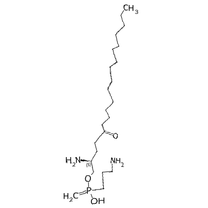 C=P(O)(CCCN)OC[C@@H](N)CCC(=O)CCCCCCCCCCCCCC